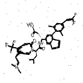 Cc1cc(C=C(F)F)cc(C)c1-c1cc([C@@H](CC(=O)O)NC(=O)[C@@H](CC(C)C)n2cc(CCN(C)C)c(C(F)(F)F)cc2=O)cc2c1CCC2